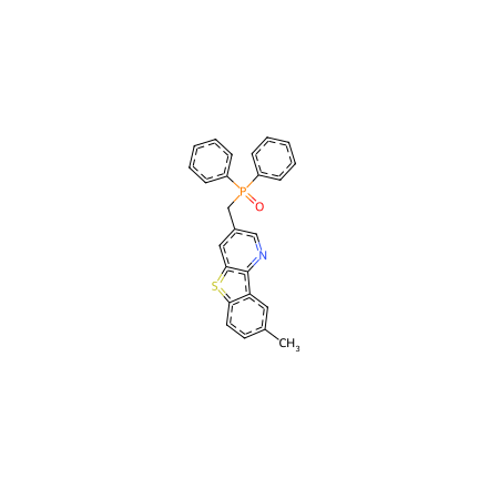 Cc1ccc2sc3cc(CP(=O)(c4ccccc4)c4ccccc4)cnc3c2c1